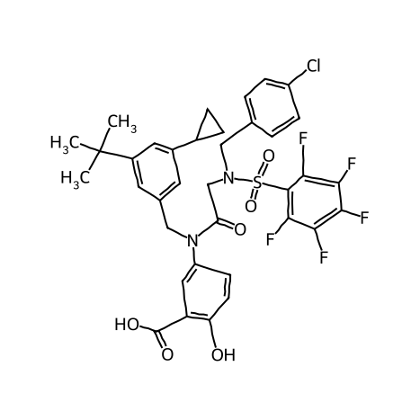 CC(C)(C)c1cc(CN(C(=O)CN(Cc2ccc(Cl)cc2)S(=O)(=O)c2c(F)c(F)c(F)c(F)c2F)c2ccc(O)c(C(=O)O)c2)cc(C2CC2)c1